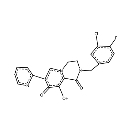 O=C1c2c(O)c(=O)c(-c3ccccn3)cn2CCN1Cc1ccc(F)c(Cl)c1